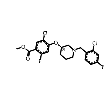 COC(=O)c1cc(Cl)c(O[C@@H]2CCCN(Cc3ccc(F)cc3Cl)C2)cc1F